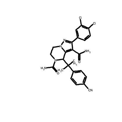 CC(C)(c1ccc(C#N)cc1)C1c2c(C(N)=O)c(-c3ccc(Cl)c(Cl)c3)nn2CCN1C(N)=O